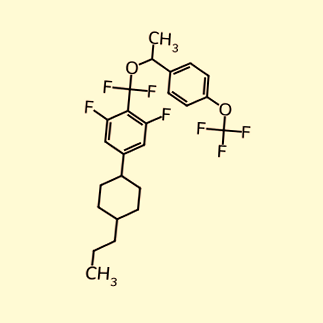 CCCC1CCC(c2cc(F)c(C(F)(F)OC(C)c3ccc(OC(F)(F)F)cc3)c(F)c2)CC1